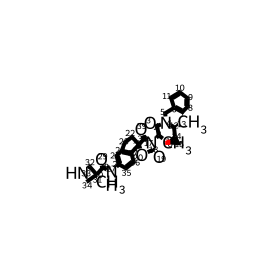 CC(C(=O)N(Cc1ccccc1)[C@@H](C)C1CC1)N1C(=O)OC2(CCc3cc(NC(=O)C4(C)CNC4)ccc32)C1=O